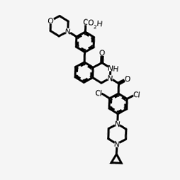 O=C(O)c1ccc(-c2cccc3c2C(=O)NN(C(=O)c2c(Cl)cc(N4CCN(C5CC5)CC4)cc2Cl)C3)cc1N1CCOCC1